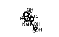 COc1cc(CC(O)CS(=O)(=O)O)c2c3c1O[C@H]1[C@@H](O)C=C[C@H]4[C@@H](C2)N(C)CC[C@@]341.[NaH]